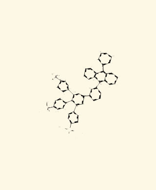 C[Si](C)(C)c1ccc(-c2cc(-c3cccc(-c4c5ccccc5c(-c5ccccc5)c5ccccc45)c3)cc(-c3ccc([Si](C)(C)C)cc3)c2-c2ccc([Si](C)(C)C)cc2)cc1